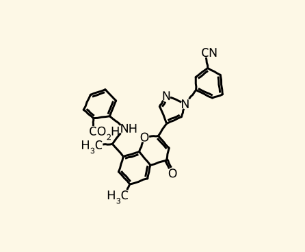 Cc1cc(C(C)Nc2ccccc2C(=O)O)c2oc(-c3cnn(-c4cccc(C#N)c4)c3)cc(=O)c2c1